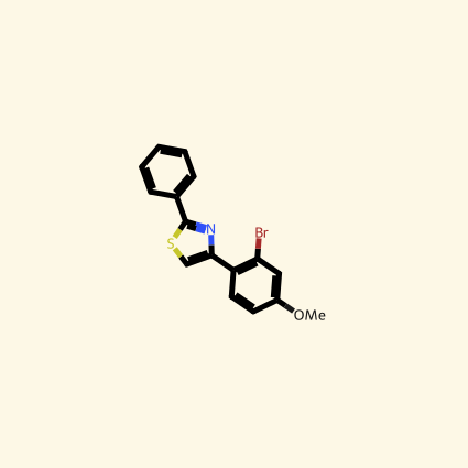 COc1ccc(-c2csc(-c3ccccc3)n2)c(Br)c1